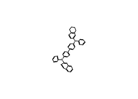 c1ccc(N(c2ccc(-c3ccc(N(c4ccccc4)c4ccc5ccccc5c4)cc3)cc2)c2ccc3c(c2)CCCC3)cc1